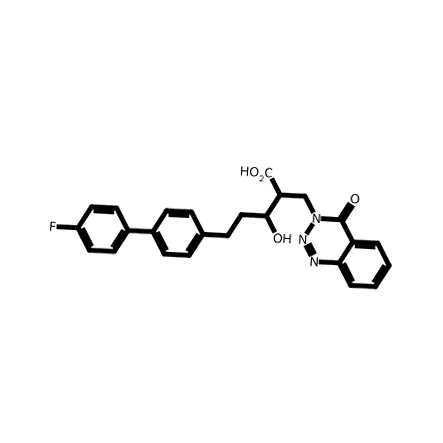 O=C(O)C(Cn1nnc2ccccc2c1=O)C(O)CCc1ccc(-c2ccc(F)cc2)cc1